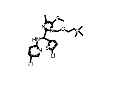 CSc1c(C)nc(C(Nc2ccc(Cl)cn2)c2ccc(Cl)s2)n1COCC[Si](C)(C)C